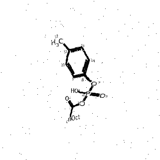 CCCCCCCCC(=O)OP(=O)(O)Oc1ccc(C)cc1